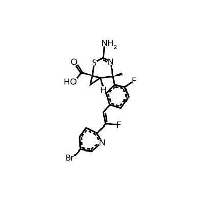 C[C@]1(c2cc(/C=C(\F)c3ccc(Br)cn3)ccc2F)N=C(N)S[C@@]2(C(=O)O)C[C@H]21